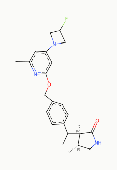 Cc1cc(N2CC(F)C2)cc(OCc2ccc(C(C)[C@@]3(C)C(=O)NC[C@@H]3C)cc2)n1